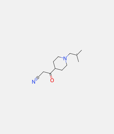 C[C](C)CN1CCC(C(=O)CC#N)CC1